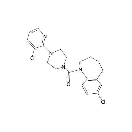 O=C(N1CCN(c2ncccc2Cl)CC1)N1CCCCc2cc(Cl)ccc21